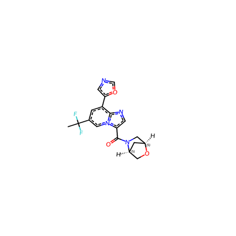 CC(F)(F)c1cc(-c2cnco2)c2ncc(C(=O)N3C[C@@H]4C[C@H]3CO4)n2c1